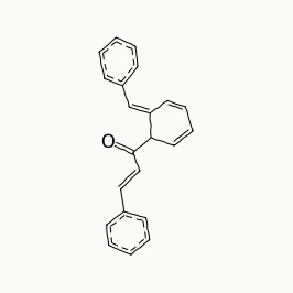 O=C(C=Cc1ccccc1)C1C=CC=CC1=Cc1ccccc1